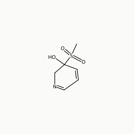 CS(=O)(=O)C1(O)C=CC=NC1